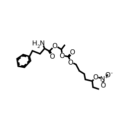 CCC(CCCCOC(=O)OC(C)OC(=O)C(N)CCc1ccccc1)O[N+](=O)[O-]